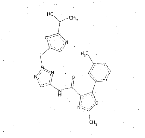 Cc1cccc(-c2oc(C)nc2C(=O)Nc2cnn(Cc3cnc(C(C)O)o3)n2)c1